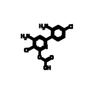 Nc1cc(Cl)ccc1-c1cc(N)c(Cl)c(OC(=O)O)n1